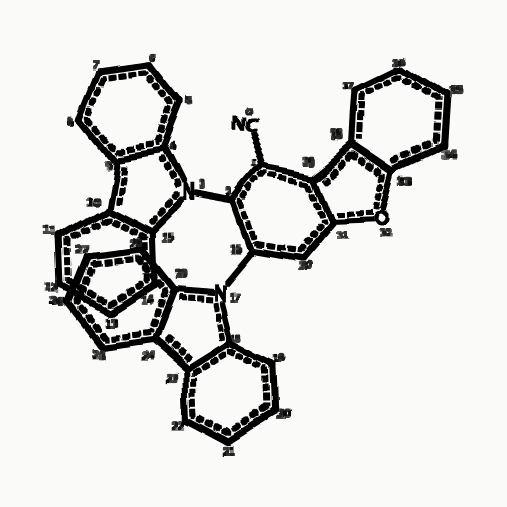 N#Cc1c(-n2c3ccccc3c3ccccc32)c(-n2c3ccccc3c3ccccc32)cc2oc3ccccc3c12